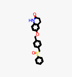 O=C1CCc2cc(OCc3ccc(C[S+]([O-])c4ccccc4)cc3)ccc2N1